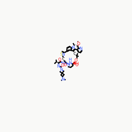 CCn1c(-c2cccnc2[C@H](C)OC)c2c3cc(ccc31)-c1csc(n1)C[C@H](NC(=O)[C@H](C(C)C)N(C)C(=O)N1CC3(CC(N(C)C)C3)C1)C(=O)N1CCC[C@@](O)(N1)C(=O)OCC(C)(C)C2